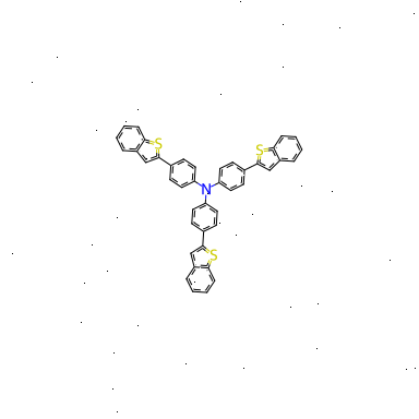 c1ccc2sc(-c3ccc(N(c4ccc(-c5cc6ccccc6s5)cc4)c4ccc(-c5cc6ccccc6s5)cc4)cc3)cc2c1